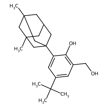 CC12CC3CC(C)(C1)CC(c1cc(C(C)(C)C)cc(CO)c1O)(C3)C2